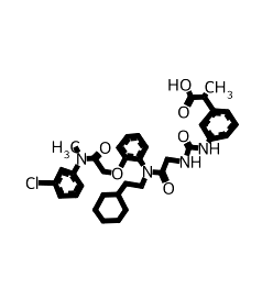 CC(C(=O)O)c1cccc(NC(=O)NCC(=O)N(CCC2CCCCC2)c2ccccc2OCC(=O)N(C)c2cccc(Cl)c2)c1